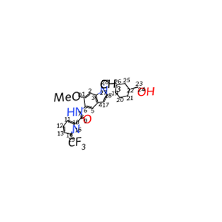 COc1cc2c(cc1NC(=O)c1cccc(C(F)(F)F)n1)cc([C@H]1CC[C@H](CO)CC1)n2C